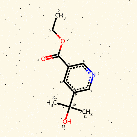 CCOC(=O)c1cncc(C(C)(C)O)c1